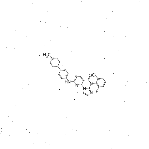 CN1CCC(c2ccc(Nc3ncc4c(=O)n(-c5c(F)cccc5Cl)c5nccn5c4n3)cc2)CC1